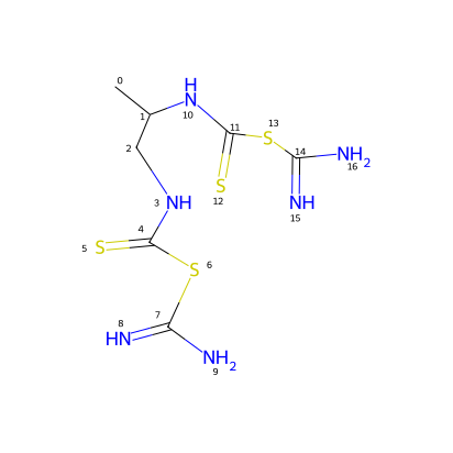 CC(CNC(=S)SC(=N)N)NC(=S)SC(=N)N